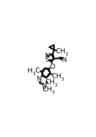 Cc1cc(Oc2snc(C3(C)CC3)c2C#N)c(C)cc1/N=C\N(C)C